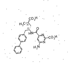 C[C@H](C[C@@H](Cc1ccc(-c2ccccc2)cc1)NC(=O)c1cc(N)nc(C(=O)O)n1)C(=O)O